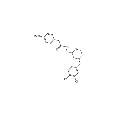 COc1ccc(CC(=O)NCC2CN(Cc3ccc(Cl)c(Cl)c3)CCO2)cc1